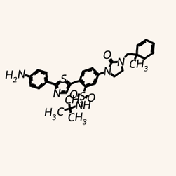 CC1(CN2CCN(c3ccc(-c4cnc(-c5ccc(N)cc5)s4)c(S(=O)(=O)NC(C)(C)C)c3)C2=O)C=CC=CC1